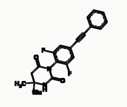 CC(C)(C)C1(C)CC(=O)N(c2c(F)cc(C#Cc3ccccc3)cc2F)C(=O)N1